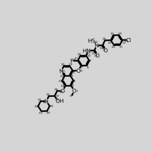 COc1cc2c(Oc3ccc(NC(=O)N(S)C(=O)Cc4ccc(Cl)cc4)cc3F)ccnc2cc1OCC(O)CN1CCCCC1